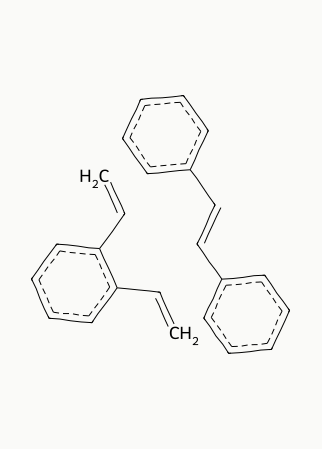 C(=Cc1ccccc1)c1ccccc1.C=Cc1ccccc1C=C